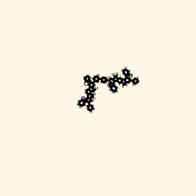 CC1(C)c2cc3c(cc2-c2c1cc(-c1ccccc1)c1oc4ccccc4c21)C(C)(C)c1cc(-c2ccc(-c4cccc(-c5cc6c(c7oc8ccccc8c57)-c5ccc7c(c5C6(C)C)C(C)(C)c5cc(-c6ccccc6)c6c(oc8ccccc86)c5-7)c4)cc2)c2oc4ccccc4c2c1-3